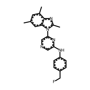 Cc1cc(C)c2nc(C)n(-c3cncc(Nc4ccc(CF)cc4)n3)c2c1